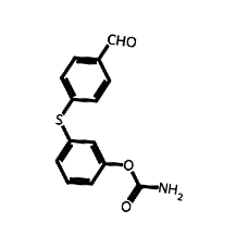 NC(=O)Oc1cccc(Sc2ccc(C=O)cc2)c1